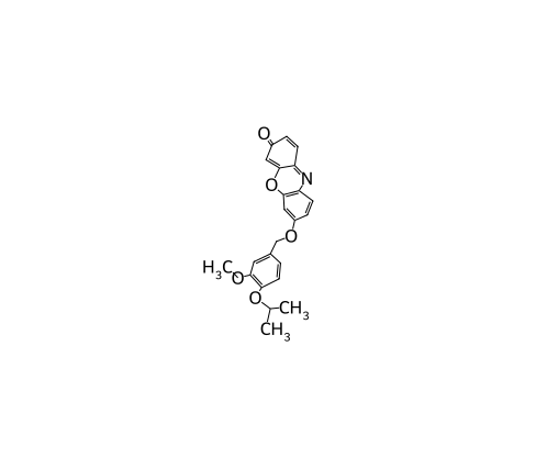 COc1cc(COc2ccc3nc4ccc(=O)cc-4oc3c2)ccc1OC(C)C